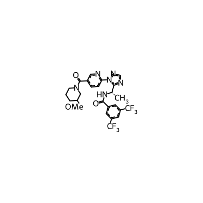 COC1CCCN(C(=O)c2ccc(-n3ncnc3[C@H](C)NC(=O)c3cc(C(F)(F)F)cc(C(F)(F)F)c3)nc2)C1